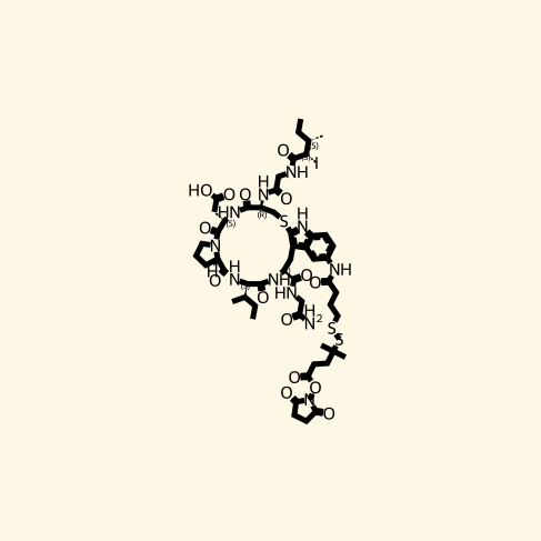 CCC(C)[C@@H]1NC(=O)[C@@H]2CCCN2C(=O)[C@H](CC(=O)O)NC(=O)[C@@H](NC(=O)CNC(=O)[C@@H](I)[C@@H](C)CC)CSc2[nH]c3ccc(NC(=O)CCCSSC(C)(C)CCC(=O)ON4C(=O)CCC4=O)cc3c2C[C@@H](C(=O)NCC(N)=O)NC1=O